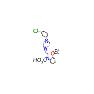 CCOc1ccccc1N(CCN1CCN(c2cccc(Cl)c2)CC1)C(=O)O